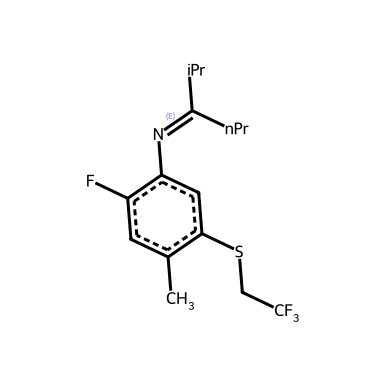 CCC/C(=N\c1cc(SCC(F)(F)F)c(C)cc1F)C(C)C